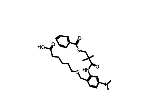 CN(C)c1ccc(CSCCCCCC(=O)O)c(NC(=O)C(C)(C)CSC(=O)c2ccccc2)c1